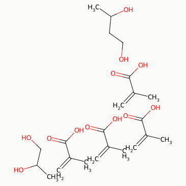 C=C(C)C(=O)O.C=C(C)C(=O)O.C=C(C)C(=O)O.C=C(C)C(=O)O.CC(O)CCO.CC(O)CO